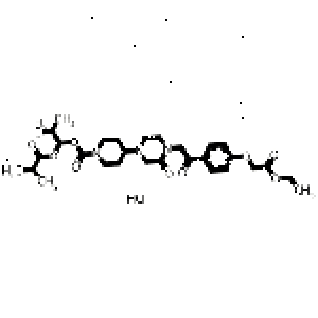 CCOC(=O)COc1ccc(C(=O)CN2CCN(C3CCN(C(=O)OC(OC(=O)C(C)C)C(C)C)CC3)CC2=O)cc1.Cl